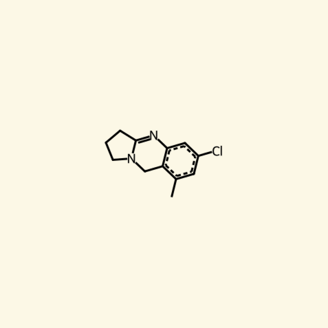 Cc1cc(Cl)cc2c1CN1CCCC1=N2